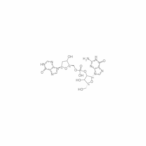 Nc1nc2c(ncn2[C@@H]2O[C@H](CO)C(O)C2OP(=O)(O)OC[C@H]2O[C@@H](n3cnc4c(=O)[nH]cnc43)CC2O)c(=O)[nH]1